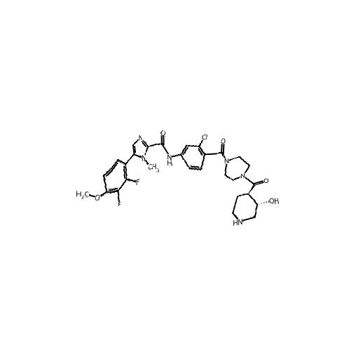 COc1ccc(-c2cnc(C(=O)Nc3ccc(C(=O)N4CCN(C(=O)[C@@H]5CCNC[C@H]5O)CC4)c(Cl)c3)n2C)c(F)c1F